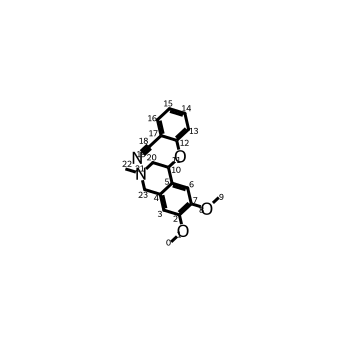 COc1cc2c(cc1OC)C(Oc1ccccc1C#N)CN(C)C2